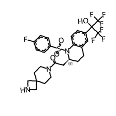 O=C(C[C@@H]1CCc2cc(C(O)(C(F)(F)F)C(F)(F)F)ccc2N1S(=O)(=O)c1ccc(F)cc1)N1CCC2(CC1)CNC2